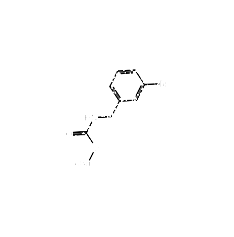 CCCCOC(=O)NCc1cccc(Br)c1